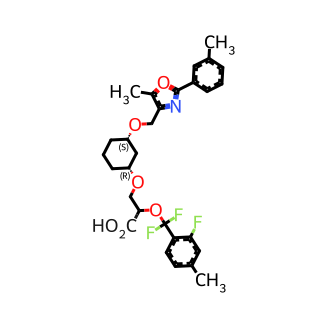 Cc1cccc(-c2nc(CO[C@H]3CCC[C@@H](OCC(OC(F)(F)c4ccc(C)cc4F)C(=O)O)C3)c(C)o2)c1